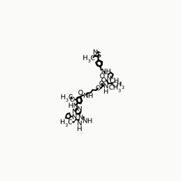 CC[C@@H]1C(=N)N(C=N)c2cnc(Nc3ccc(C(=O)NCCCCOCC(=O)N[C@H](C(=O)N4CCC[C@H]4C(=O)NCc4ccc(-c5scnc5C)cc4)C(C)(C)C)cc3OC)nc2N1C1CCCC1